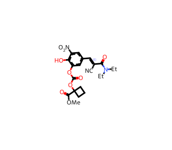 CCN(CC)C(=O)/C(C#N)=C/c1cc(OC(=O)OC2(C(=O)OC)CCC2)c(O)c([N+](=O)[O-])c1